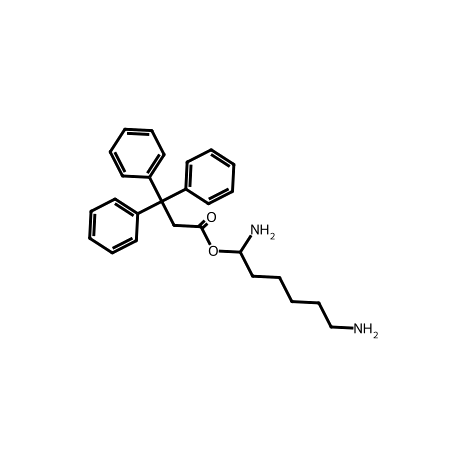 NCCCCCC(N)OC(=O)CC(c1ccccc1)(c1ccccc1)c1ccccc1